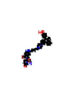 CC/C(=C(\c1ccc(O)cc1)c1ccc(N2CCN(CCCCCNc3ccc4c(c3)CN(C3CCC(=O)NC3=O)C4=O)CC2)cc1)c1ccccc1